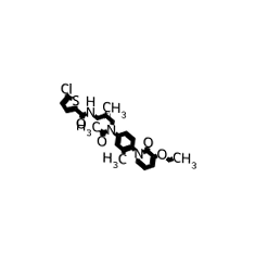 CCOc1cccn(-c2ccc(N(C[C@@H](C)CNC(=O)c3ccc(Cl)s3)C(C)=O)cc2C)c1=O